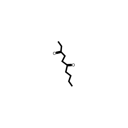 CCCCC(=O)CCC(=O)CC